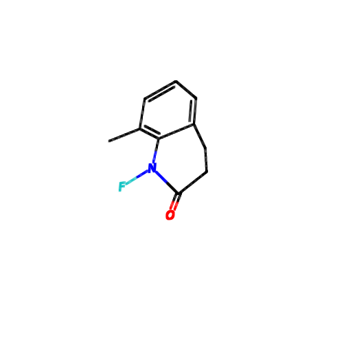 Cc1cccc2c1N(F)C(=O)CC2